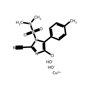 Cc1ccc(-c2c(Cl)nc(C#N)n2S(=O)(=O)N(C)C)cc1.[Cu+2].[OH-].[OH-]